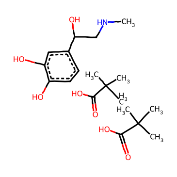 CC(C)(C)C(=O)O.CC(C)(C)C(=O)O.CNCC(O)c1ccc(O)c(O)c1